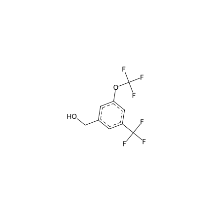 OCc1cc(OC(F)(F)F)cc(C(F)(F)F)c1